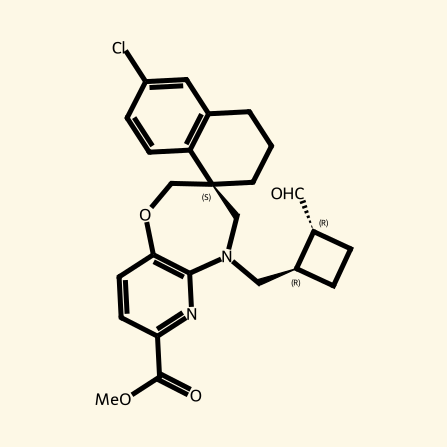 COC(=O)c1ccc2c(n1)N(C[C@@H]1CC[C@H]1C=O)C[C@@]1(CCCc3cc(Cl)ccc31)CO2